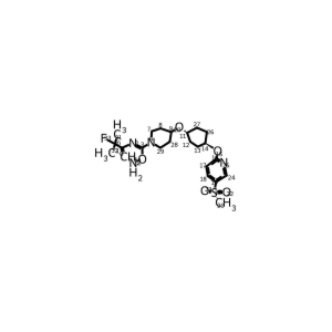 C=C(/N=C(\ON)N1CCC(O[C@H]2CC[C@H](Oc3ccc(S(C)(=O)=O)cn3)CC2)CC1)C(C)(C)F